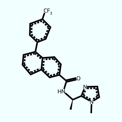 C[C@@H](NC(=O)c1ccc2c(-c3ccc(C(F)(F)F)cc3)cccc2c1)c1nccn1C